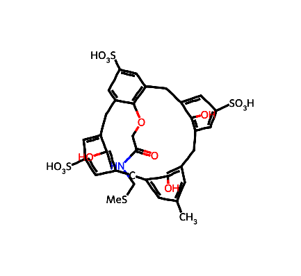 CSCNC(=O)COc1c2cc(S(=O)(=O)O)cc1Cc1cc(S(=O)(=O)O)cc(c1O)Cc1cc(C)cc(c1O)Cc1cc(S(=O)(=O)O)cc(c1O)C2